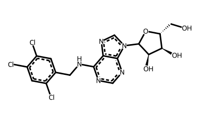 OC[C@H]1OC(n2cnc3c(NCc4cc(Cl)c(Cl)cc4Cl)ncnc32)[C@H](O)[C@@H]1O